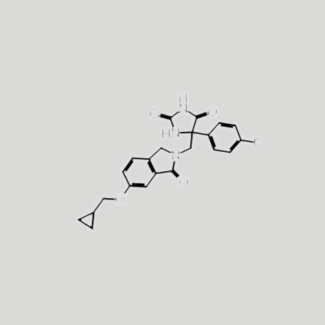 O=C1NC(=O)C(CN2Cc3ccc(OCC4CC4)cc3C2=O)(c2ccc(F)cc2)N1